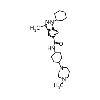 Cc1nn(C2CCCCC2)c2sc(C(=O)NC3CCC(N4CCCN(C)CC4)CC3)cc12